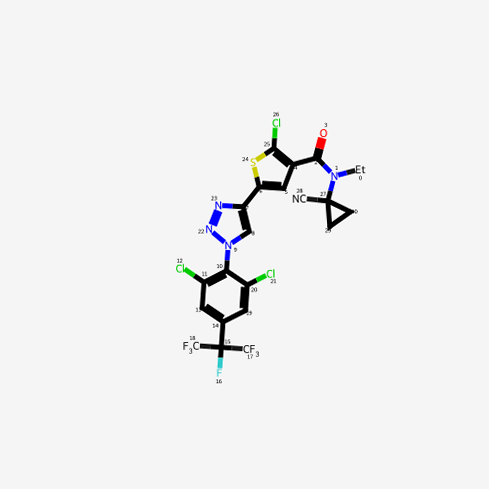 CCN(C(=O)c1cc(-c2cn(-c3c(Cl)cc(C(F)(C(F)(F)F)C(F)(F)F)cc3Cl)nn2)sc1Cl)C1(C#N)CC1